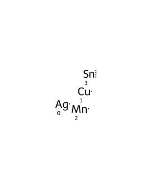 [Ag].[Cu].[Mn].[Sn]